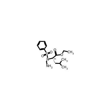 CCOC(=O)[C@H](CC(C)C)N(CN)S(=O)(=O)c1ccccc1